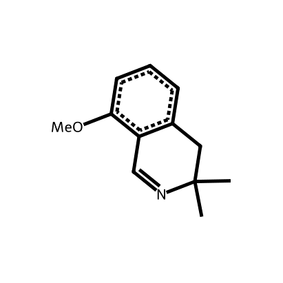 COc1cccc2c1C=NC(C)(C)C2